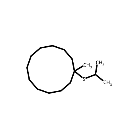 CC(C)SC1(C)CCCCCCCCCCC1